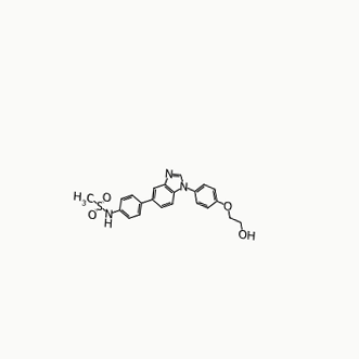 CS(=O)(=O)Nc1ccc(-c2ccc3c(c2)ncn3-c2ccc(OCCO)cc2)cc1